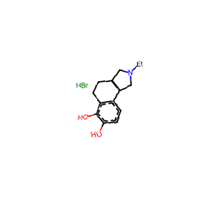 Br.CCN1CC2CCc3c(ccc(O)c3O)C2C1